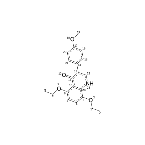 CCOc1ccc(OCC)c2c(=O)c(-c3ccc(OC)cc3)c[nH]c12